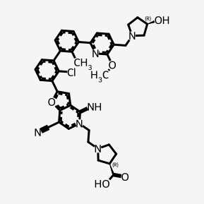 COc1nc(-c2cccc(-c3cccc(-c4cc5c(=N)n(CCN6CC[C@@H](C(=O)O)C6)cc(C#N)c5o4)c3Cl)c2C)ccc1CN1CC[C@@H](O)C1